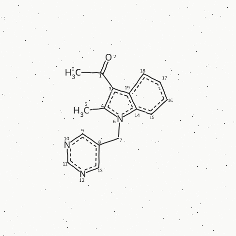 CC(=O)c1c(C)n(Cc2cncnc2)c2ccccc12